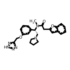 CN(C(=O)Cc1cc2ccccc2o1)[C@H](CN1CCCC1)c1cccc(OCc2nn[nH]n2)c1